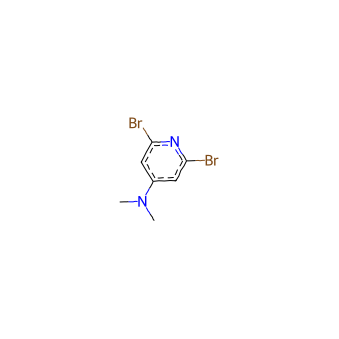 CN(C)c1cc(Br)nc(Br)c1